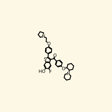 O=C(c1ccc(OC2CCCCC2N2CCCCC2)cc1)c1c(-c2ccc(OCCN3CCCC3)cc2)sc2cc(O)c(F)cc12